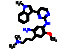 COc1cc(CCCN(C)C)c(N)cc1Nc1nccc(-c2cn(C)c3ccccc23)n1